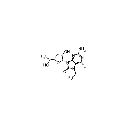 Nc1nc(Cl)c2c(n1)n([C@@H]1O[C@H]([C@@H](O)C(F)(F)F)C[C@H]1O)c(=O)n2CC(F)(F)F